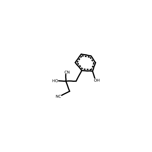 N#CCC(O)(C#N)Cc1ccccc1O